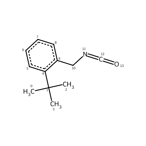 CC(C)(C)c1ccccc1CN=C=O